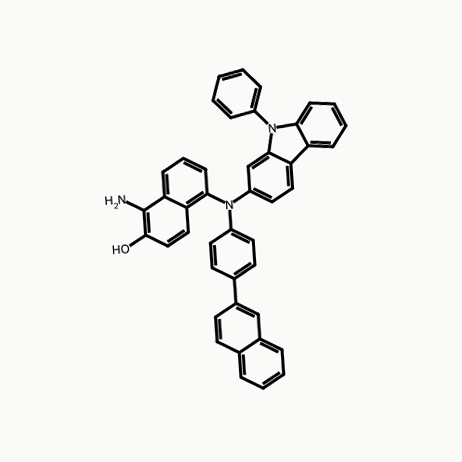 Nc1c(O)ccc2c(N(c3ccc(-c4ccc5ccccc5c4)cc3)c3ccc4c5ccccc5n(-c5ccccc5)c4c3)cccc12